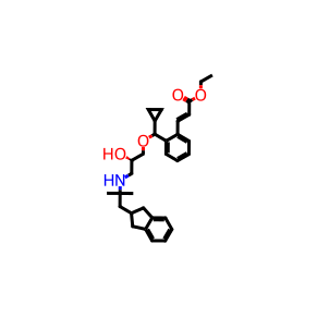 CCOC(=O)/C=C/c1ccccc1C(OC[C@H](O)CNC(C)(C)CC1Cc2ccccc2C1)C1CC1